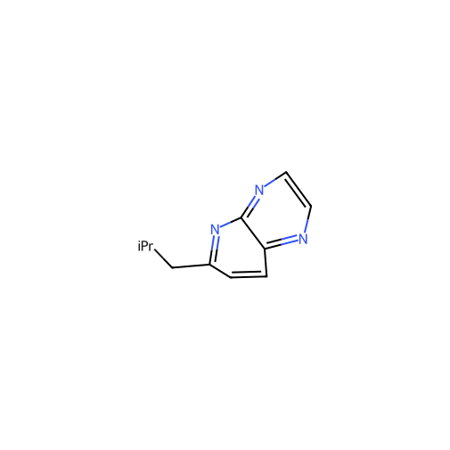 CC(C)Cc1ccc2nccnc2n1